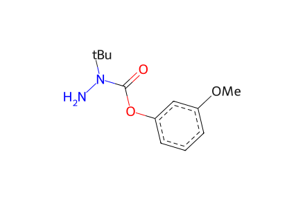 COc1cccc(OC(=O)N(N)C(C)(C)C)c1